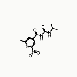 Cc1cc(C(=O)NC(=O)NC(C)C)cc([N+](=O)[O-])n1